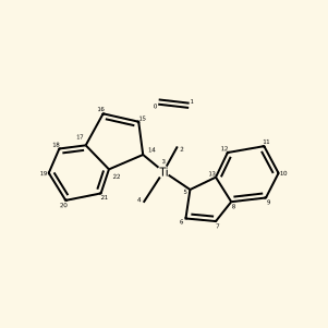 C=C.[CH3][Ti]([CH3])([CH]1C=Cc2ccccc21)[CH]1C=Cc2ccccc21